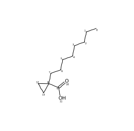 CCCCCCCCC1(C(=O)O)CC1